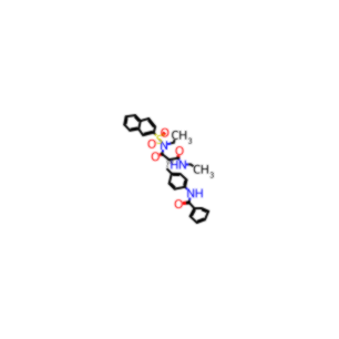 CCNC(=O)[C@H](Cc1ccc(NC(=O)c2ccccc2)cc1)C(=O)N(CC)S(=O)(=O)c1ccc2ccccc2c1